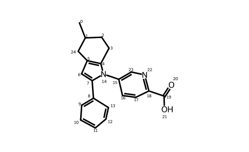 CC1CCc2c(cc(-c3ccccc3)n2-c2ccc(C(=O)O)nc2)C1